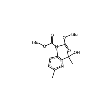 Cc1ccc(N(C(=O)OC(C)(C)C)C(=O)OC(C)(C)C)c(C(C)(C)O)n1